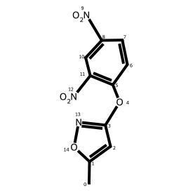 Cc1cc(Oc2ccc([N+](=O)[O-])cc2[N+](=O)[O-])no1